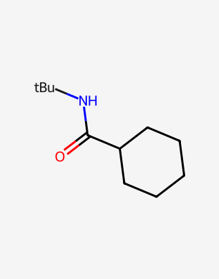 [CH2]C(C)(C)NC(=O)C1CCCCC1